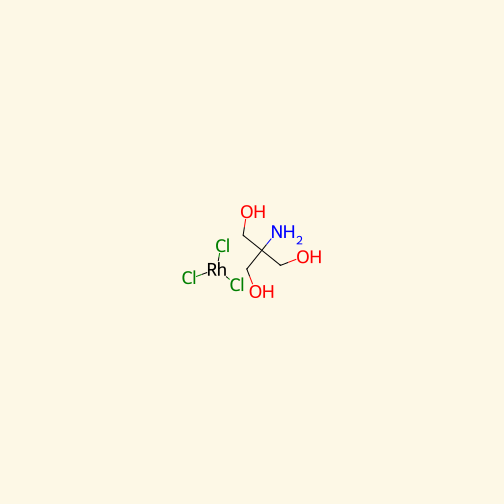 NC(CO)(CO)CO.[Cl][Rh]([Cl])[Cl]